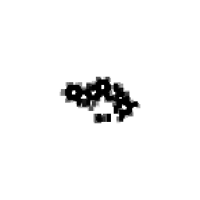 CCc1nc2c(C)cc(C)nc2n1Cc1cccc2nc(-c3ccccc3C(=O)O)ccc12.[NaH]